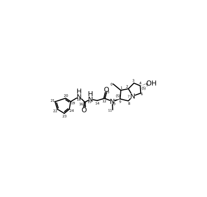 CC1C2C[C@H](O)CN2C[C@H]1N(C)C(=O)CNC(=O)Nc1ccccc1